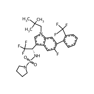 CC(C)(C)Cn1cc([C@H](NS(=O)(=O)N2CCCC2)C(F)(F)F)c2cc(F)c(-c3ccccc3C(F)(F)F)cc21